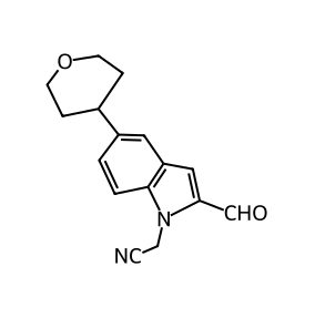 N#CCn1c(C=O)cc2cc(C3CCOCC3)ccc21